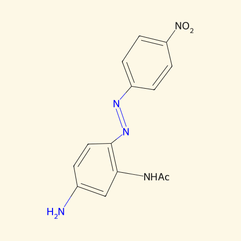 CC(=O)Nc1cc(N)ccc1/N=N/c1ccc([N+](=O)[O-])cc1